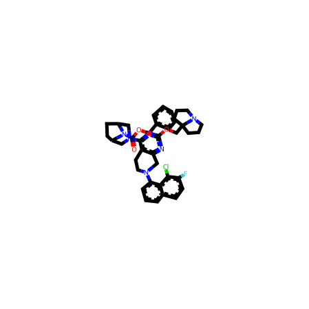 O=C(OCc1ccccc1)N1C2CCC1CN(c1nc(OCC34CCCN3CCC4)nc3c1CCN(c1cccc4ccc(F)c(Cl)c14)C3)C2